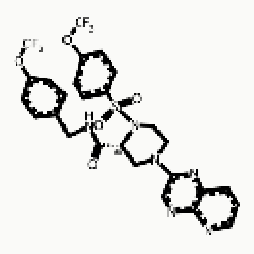 O=C(NCc1ccc(OC(F)(F)F)cc1)[C@H]1CN(c2cnc3ncccc3n2)CCN1S(=O)(=O)c1ccc(OC(F)(F)F)cc1